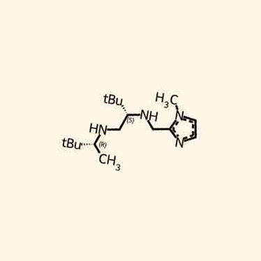 C[C@@H](NC[C@@H](NCc1nccn1C)C(C)(C)C)C(C)(C)C